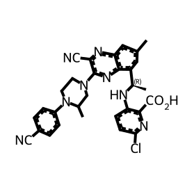 Cc1cc([C@@H](C)Nc2ccc(Cl)nc2C(=O)O)c2nc(N3CCN(c4ccc(C#N)cc4)C(C)C3)c(C#N)nc2c1